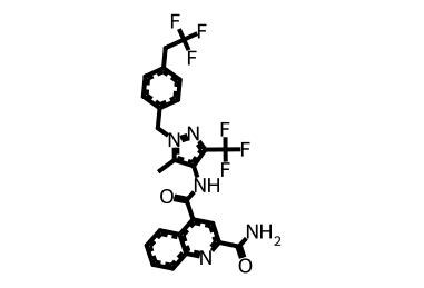 Cc1c(NC(=O)c2cc(C(N)=O)nc3ccccc23)c(C(F)(F)F)nn1Cc1ccc(CC(F)(F)F)cc1